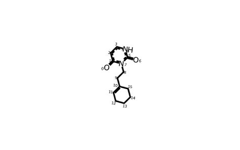 O=c1cc[nH]c(=O)n1CCC1=CCCCC1